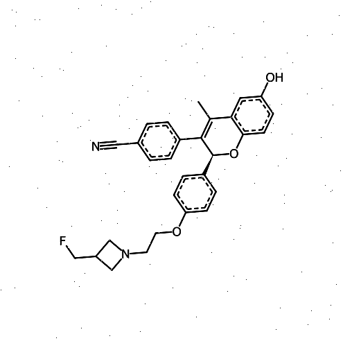 CC1=C(c2ccc(C#N)cc2)[C@H](c2ccc(OCCN3CC(CF)C3)cc2)Oc2ccc(O)cc21